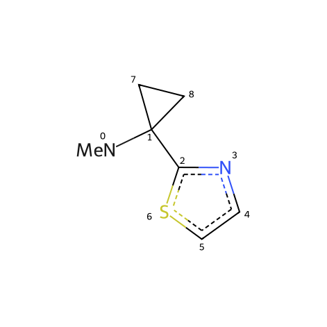 CNC1(c2nccs2)CC1